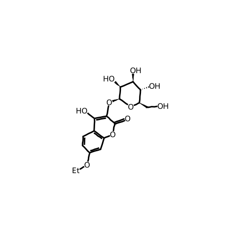 CCOc1ccc2c(O)c(O[C@@H]3O[C@H](CO)[C@@H](O)[C@H](O)[C@@H]3O)c(=O)oc2c1